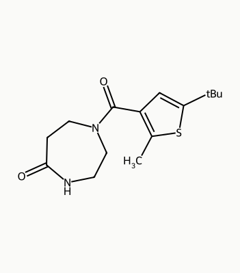 Cc1sc(C(C)(C)C)cc1C(=O)N1CCNC(=O)CC1